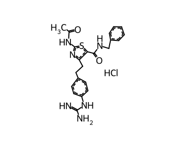 CC(=O)Nc1nc(CCc2ccc(NC(=N)N)cc2)c(C(=O)NCc2ccccc2)s1.Cl